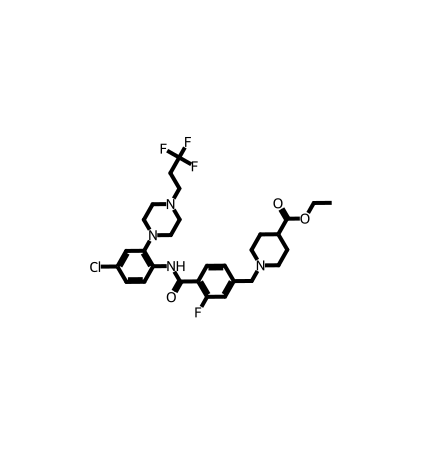 CCOC(=O)C1CCN(Cc2ccc(C(=O)Nc3ccc(Cl)cc3N3CCN(CCC(F)(F)F)CC3)c(F)c2)CC1